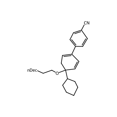 CCCCCCCCCCCCOC1(C2CCCCC2)C=CC(c2ccc(C#N)cc2)=CC1